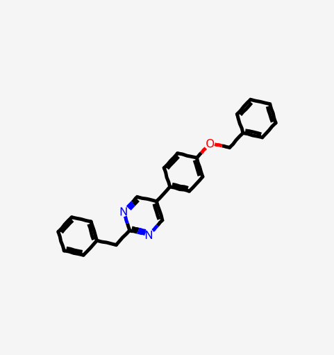 c1ccc(COc2ccc(-c3cnc(Cc4ccccc4)nc3)cc2)cc1